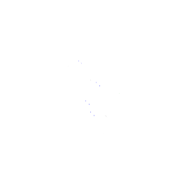 CN(C)CC(=O)Nc1nn(C)c2c(C(C)(C)C)ccc(Cl)c12